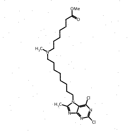 COC(=O)CCCCCCN(C)CCCCCCCCn1c(C)nc2nc(Cl)nc(Cl)c21